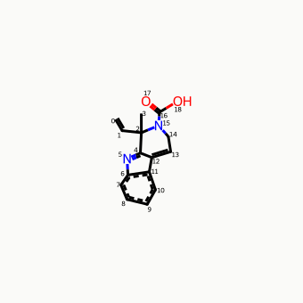 C=CC1(C)C2=Nc3ccccc3C2=CCN1C(=O)O